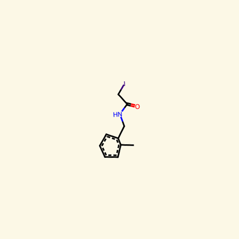 Cc1ccccc1CNC(=O)CI